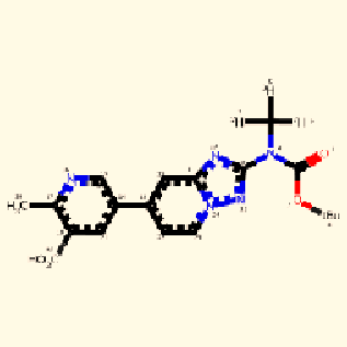 [2H]C([2H])([2H])N(C(=O)OC(C)(C)C)c1nc2cc(-c3cnc(C)c(C(=O)O)c3)ccn2n1